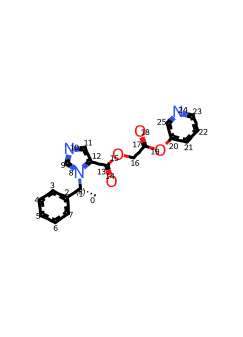 C[C@H](c1ccccc1)n1cncc1C(=O)OCC(=O)Oc1cccnc1